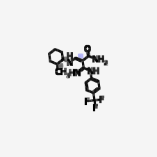 C[C@H]1CCCC[C@@H]1N/C=C(\C(=N)Nc1ccc(C(F)(F)F)cc1)C(N)=O